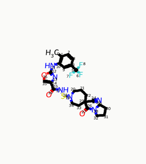 Cc1ccc(C(F)(F)F)cc1Nc1nc(C(=O)NSN2CCCC(C#N)(C(=O)N3CCCC3)CC2)co1